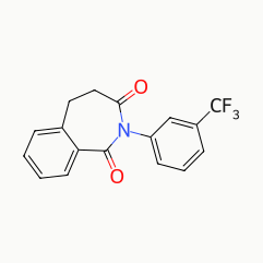 O=C1CCc2ccccc2C(=O)N1c1cccc(C(F)(F)F)c1